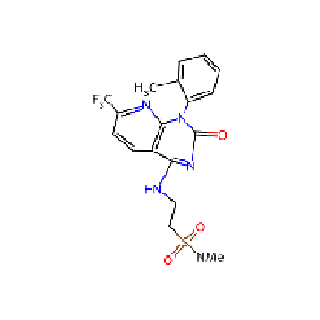 CNS(=O)(=O)CCNc1nc(=O)n(-c2ccccc2C)c2nc(C(F)(F)F)ccc12